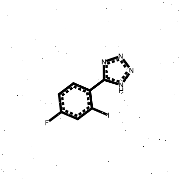 Fc1ccc(-c2nnn[nH]2)c(I)c1